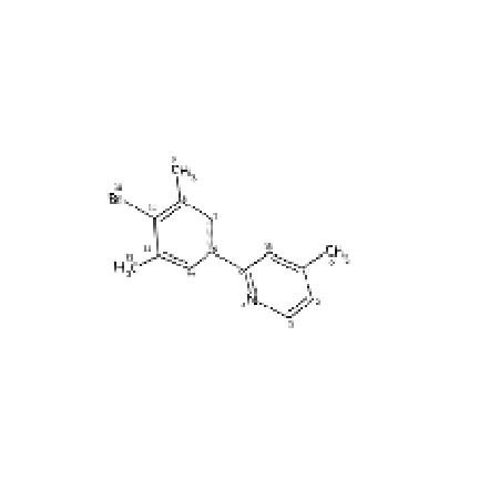 Cc1ccnc(-c2cc(C)c(Br)c(C)c2)c1